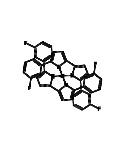 Fc1cccc(-c2ccc3n2[Si]2(n4c(-c5cccc(F)c5)ccc4-3)n3c(-c4cccc(F)c4)ccc3-c3ccc(-c4cccc(F)c4)n32)c1